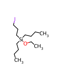 CCCC[Si](CCCC)(CCCI)OCC